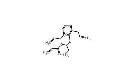 C=CCc1cccc(CC=C)c1OC(CC)OC(=O)C=C